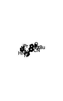 CC(C)n1ccc(Nc2nccc(-c3cc(C#N)c4c(c3)CCN4C(=O)OC(C)(C)C)n2)n1